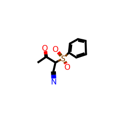 CC(=O)C(C#N)S(=O)(=O)c1ccccc1